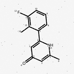 Cc1cc(=O)cc(-c2cccc(F)c2C)[nH]1